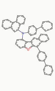 c1ccc(-c2ccc(-c3c4ccccc4cc4c3oc3cccc(N(c5ccc(-c6ccccc6)cc5)c5cc6ccccc6c6ccccc56)c34)cc2)cc1